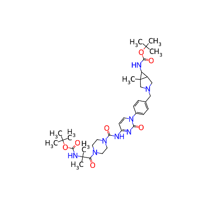 CC(C)(C)OC(=O)NC1C2CN(Cc3ccc(-n4ccc(NC(=O)N5CCN(C(=O)C(C)(C)NC(=O)OC(C)(C)C)CC5)nc4=O)cc3)CC21C